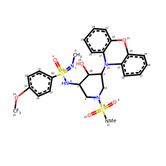 CN=S(=O)(NC1CN(S(=O)(=O)NC)CC(N2c3ccccc3Oc3ccccc32)C1O)c1ccc(OC(F)(F)F)cc1